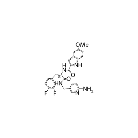 COc1ccc2[nH]c(C(=O)N[C@@H](Cc3ccc(F)c(F)c3)C(=O)NCc3ccc(N)nc3)cc2c1